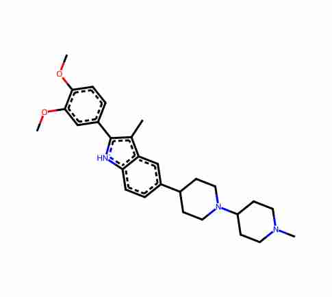 COc1ccc(-c2[nH]c3ccc(C4CCN(C5CCN(C)CC5)CC4)cc3c2C)cc1OC